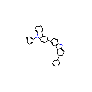 C1=CC2C(C=C1c1ccc3[nH]c4ccc(-c5ccccc5)cc4c3c1)c1ccccc1N2c1ccccc1